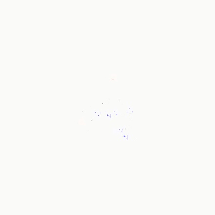 C[C@@H]1COCCN1c1cc(C2CCOCC2)c2cnc(-c3ccn[nH]3)n2n1